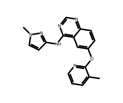 Cc1cccnc1Oc1ccc2ncnc(Nc3ccn(C)n3)c2c1